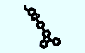 CCc1ccc2oc(-c3ccc(-c4ccc5c(c4)c4ccccc4n5-c4ccccc4)cc3)nc2c1